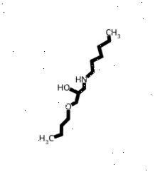 CCCCCCNCC(O)COCCCC